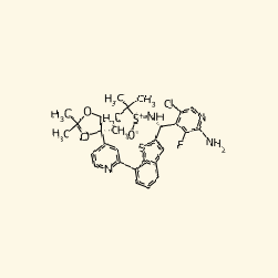 CC1(C)OC[C@@](C)(c2ccnc(-c3cccc4cc([C@H](N[S+]([O-])C(C)(C)C)c5c(Cl)cnc(N)c5F)sc34)c2)O1